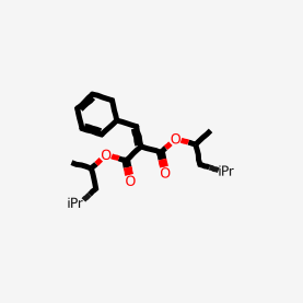 CC(C)CC(C)OC(=O)C(=CC1C=CC=CC1)C(=O)OC(C)CC(C)C